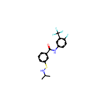 CC(C)NSc1cccc(C(=O)Nc2ccc(F)c(C(F)(F)F)c2)c1